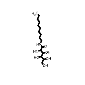 CCCCCCCCCCNC(=O)C(O)C(O)C(O)C(O)CO